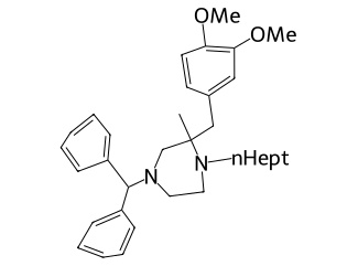 CCCCCCCN1CCN(C(c2ccccc2)c2ccccc2)CC1(C)Cc1ccc(OC)c(OC)c1